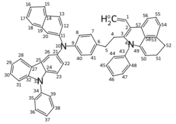 C=CC1=C(CCc2ccc(N(c3ccc4ccccc4c3)c3ccc4c(c3)c3ccccc3n4-c3ccccc3)cc2)N(c2ccccc2)C2=CCCc3cccc1c32